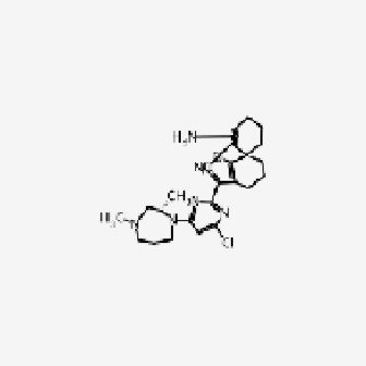 C[C@H]1CN(C)CCCN1c1cc(Cl)nc(-c2noc3c2CCC[C@@]32CCCc3sc(N)c(C#N)c32)n1